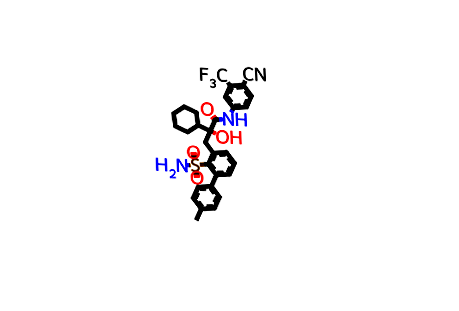 Cc1ccc(-c2cccc(CC(O)(C(=O)Nc3ccc(C#N)c(C(F)(F)F)c3)C3CCCCC3)c2S(N)(=O)=O)cc1